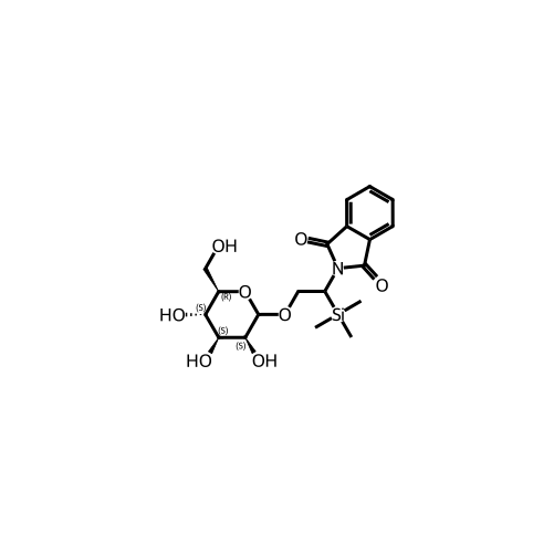 C[Si](C)(C)C(COC1O[C@H](CO)[C@@H](O)[C@H](O)[C@@H]1O)N1C(=O)c2ccccc2C1=O